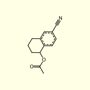 CC(=O)OC1CCCc2cc(C#N)ccc21